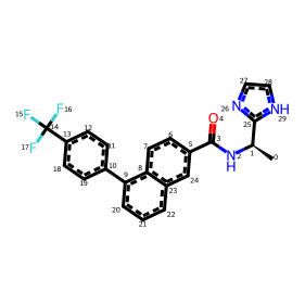 C[C@@H](NC(=O)c1ccc2c(-c3ccc(C(F)(F)F)cc3)cccc2c1)c1ncc[nH]1